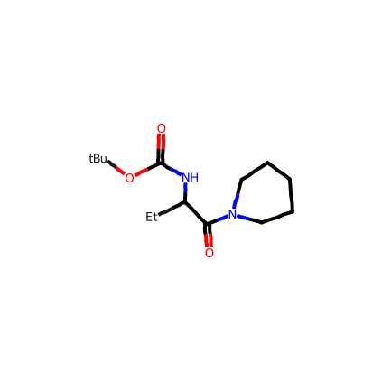 CCC(NC(=O)OC(C)(C)C)C(=O)N1CCCCC1